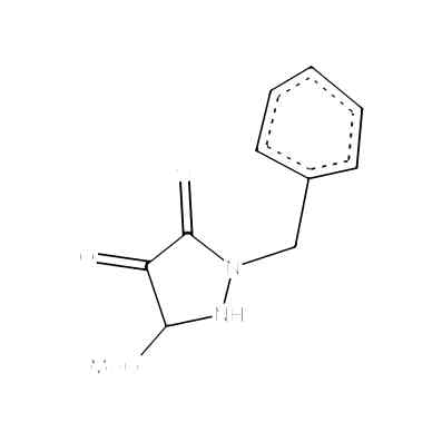 COC1NN(Cc2ccccc2)C(=O)C1=O